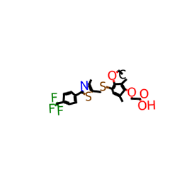 Cc1cc(SCc2sc(-c3ccc(C(F)(F)F)cc3)nc2C)c2c(c1OCC(=O)O)CCCO2